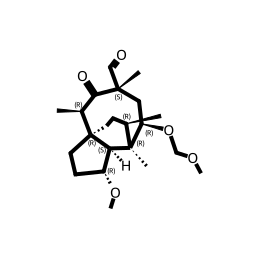 COCO[C@@H]1C[C@@](C)(C=O)C(=O)[C@H](C)[C@@]23CC[C@@H](C)[C@]1(C)[C@H]2[C@H](OC)CC3